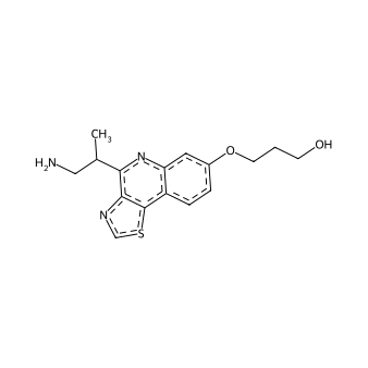 CC(CN)c1nc2cc(OCCCO)ccc2c2scnc12